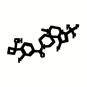 CN1CCn2c(C(F)(F)F)cc(F)c2C12CCN(C(=O)c1ccc(C3(O)CCC3)c(F)c1)CC2